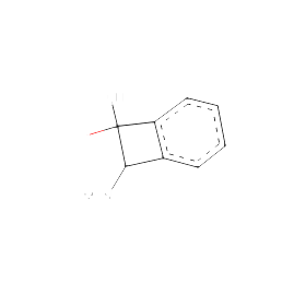 CNC1c2ccccc2C1(C)O